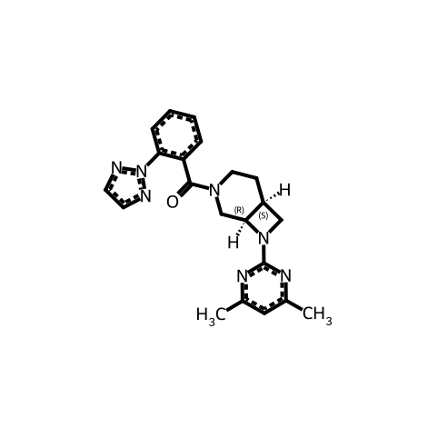 Cc1cc(C)nc(N2C[C@@H]3CCN(C(=O)c4ccccc4-n4nccn4)C[C@@H]32)n1